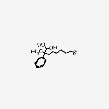 CC(CCCCCCBr)(c1ccccc1)C(O)O